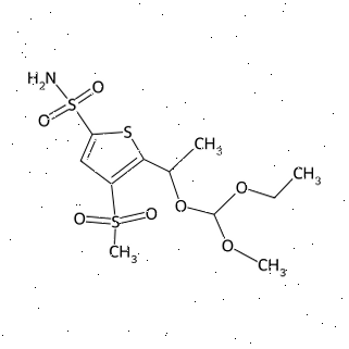 CCOC(OC)OC(C)c1sc(S(N)(=O)=O)cc1S(C)(=O)=O